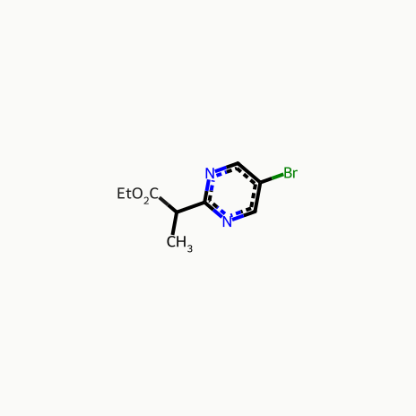 CCOC(=O)C(C)c1ncc(Br)cn1